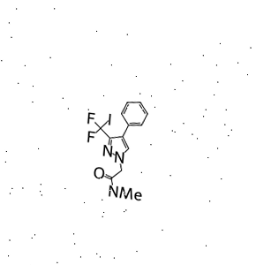 CNC(=O)Cn1cc(-c2ccccc2)c(C(F)(F)I)n1